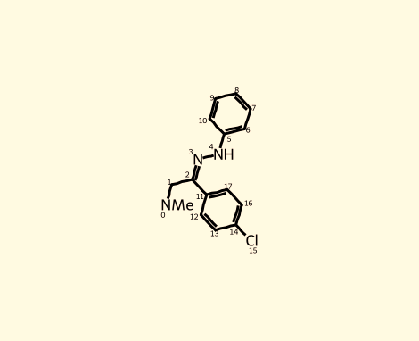 CNCC(=NNc1ccccc1)c1ccc(Cl)cc1